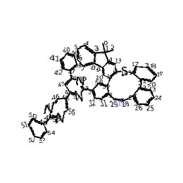 CC1(C)c2ccccc2-c2cc3c(cc21)Sc1ccccc1-c1ccccc1/C=C\c1ccc(-c2nc(-c4ccccc4)cc(-c4cnc(-c5ccccc5)nc4)n2)cc1-3